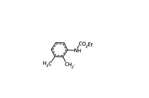 [CH2]c1c(C)cccc1NC(=O)OCC